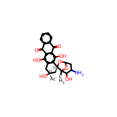 CC(=O)[C@]1(O)Cc2c(O)c3c(c(O)c2[C@]2(C1)OC1CC(N)C(O)C2(C)O1)C(=O)c1ccccc1C3=O